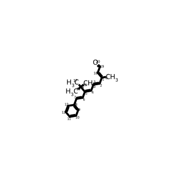 CC(C=CC=C(C=Cc1ccccc1)C(C)(C)C)=CC=O